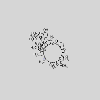 CCC1/C=C(\C)CC(C)CC(OC)C2OC(O)(C(=O)C(=O)N3CCCCC3C(=O)OC(C(C)=CC3CCC(O)C(O[Si](C)(C)C(C)(C)C)C3)C(C)C(O[Si](C)(C)C(C)(C)C)CC1=O)C(C)CC2OC